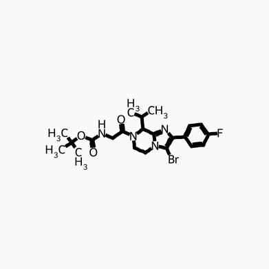 CC(C)C1c2nc(-c3ccc(F)cc3)c(Br)n2CCN1C(=O)CNC(=O)OC(C)(C)C